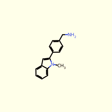 Cn1c(-c2ccc(CN)cc2)cc2ccccc21